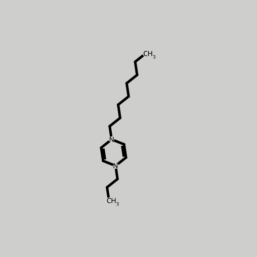 CCCCCCCCN1C=CN(CCC)C=C1